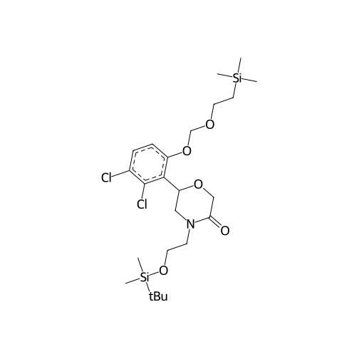 CC(C)(C)[Si](C)(C)OCCN1CC(c2c(OCOCC[Si](C)(C)C)ccc(Cl)c2Cl)OCC1=O